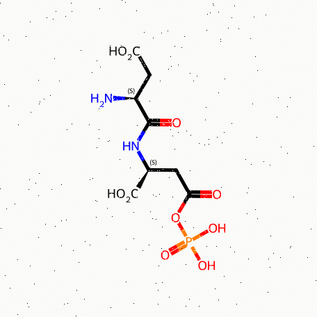 N[C@@H](CC(=O)O)C(=O)N[C@@H](CC(=O)OP(=O)(O)O)C(=O)O